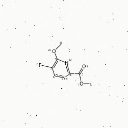 COC(=O)c1ncc(F)c(OC)n1